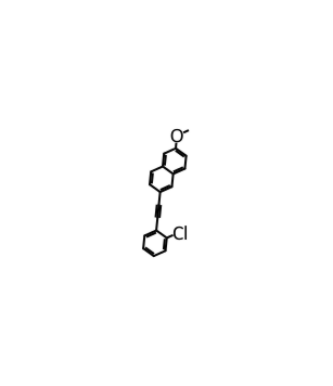 COc1ccc2cc(C#Cc3ccccc3Cl)ccc2c1